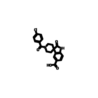 O=C(O)c1ccc2c(c1)C1(CCN(C(=O)c3ccc(Cl)cc3)CC1)C(=O)N2